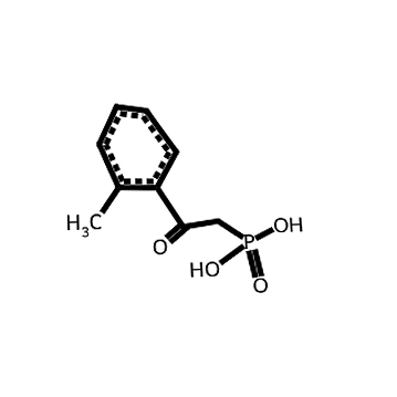 Cc1ccccc1C(=O)CP(=O)(O)O